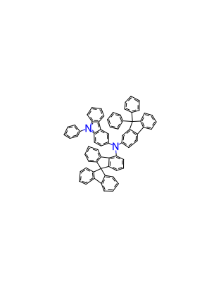 c1ccc(-n2c3ccccc3c3cc(N(c4ccc5c(c4)C(c4ccccc4)(c4ccccc4)c4ccccc4-5)c4cccc5c4-c4ccccc4C54c5ccccc5-c5ccccc54)ccc32)cc1